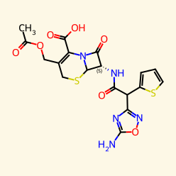 CC(=O)OCC1=C(C(=O)O)N2C(=O)[C@H](NC(=O)C(c3noc(N)n3)c3cccs3)C2SC1